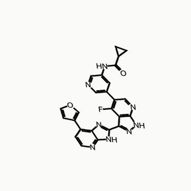 O=C(Nc1cncc(-c2cnc3[nH]nc(-c4nc5c(-c6ccoc6)ccnc5[nH]4)c3c2F)c1)C1CC1